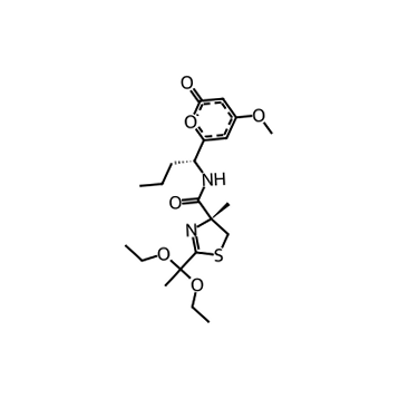 CCC[C@@H](NC(=O)[C@]1(C)CSC(C(C)(OCC)OCC)=N1)c1cc(OC)cc(=O)o1